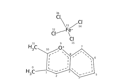 Cc1cc2ccccc2[o+]c1C.[Cl][Fe-]([Cl])([Cl])[Cl]